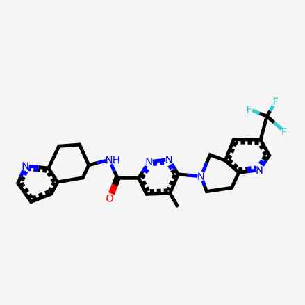 Cc1cc(C(=O)NC2CCc3ncccc3C2)nnc1N1CCc2ncc(C(F)(F)F)cc2C1